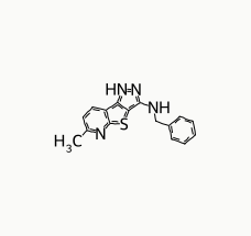 Cc1ccc2c(n1)sc1c(NCc3ccccc3)n[nH]c12